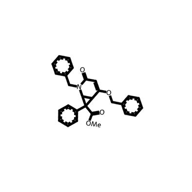 COC(=O)C1(c2ccccc2)C2C(OCc3ccccc3)=CC(=O)N(Cc3ccccc3)C21